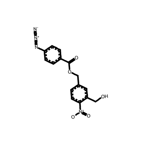 [N-]=[N+]=Nc1ccc(C(=O)OCc2ccc([N+](=O)[O-])c(CO)c2)cc1